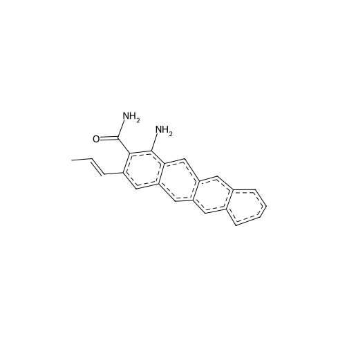 CC=Cc1cc2cc3cc4ccccc4cc3cc2c(N)c1C(N)=O